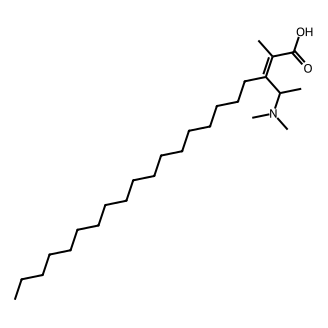 CCCCCCCCCCCCCCCCCC/C(=C(\C)C(=O)O)C(C)N(C)C